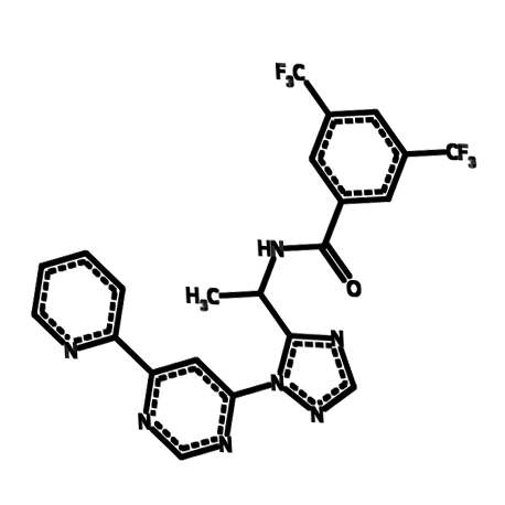 CC(NC(=O)c1cc(C(F)(F)F)cc(C(F)(F)F)c1)c1ncnn1-c1cc(-c2ccccn2)ncn1